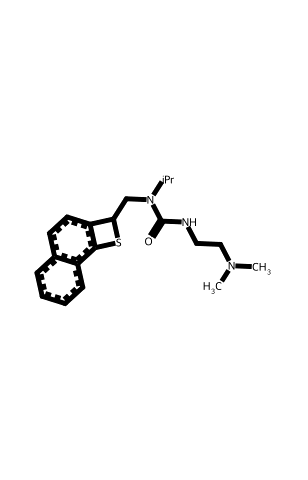 CC(C)N(CC1Sc2c1ccc1ccccc21)C(=O)NCCN(C)C